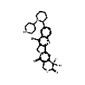 CCc1c2c(nc3ccc(C4CCCCN4C4CCNCC4)cc13)-c1cc3c(c(=O)n1C2)COC(=O)[C@]3(O)CC